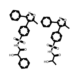 Cc1onc(-c2ccccc2)c1-c1ccc(S(=O)(=O)NC(=O)C(C)O)cc1.Cc1onc(-c2ccccc2)c1-c1ccc(S(=O)(=O)NC(=O)C(O)c2ccccc2)cc1